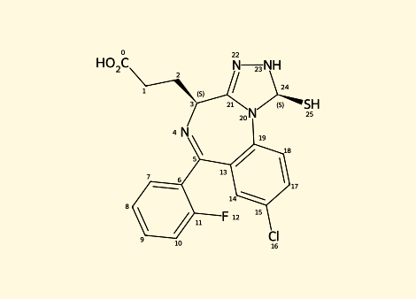 O=C(O)CC[C@@H]1N=C(c2ccccc2F)c2cc(Cl)ccc2N2C1=NN[C@H]2S